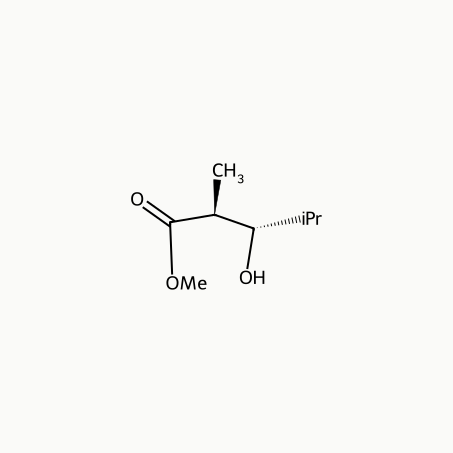 COC(=O)[C@@H](C)[C@@H](O)C(C)C